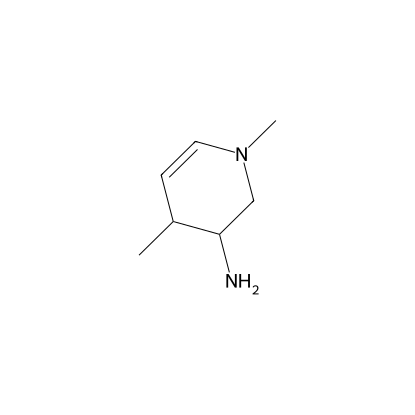 CC1C=CN(C)CC1N